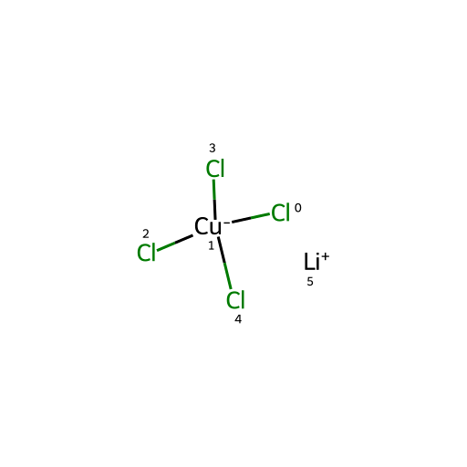 [Cl][Cu-]([Cl])([Cl])[Cl].[Li+]